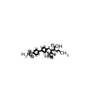 CCC[C@H](C(=O)O)[C@H](Cc1ccc(-c2ccc(S(N)(=O)=O)cc2)cc1)c1nn[nH]n1